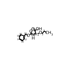 CCCOC[C@H](NC(=O)OCc1ccccc1)C(=O)O